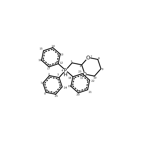 c1ccc([PH](CC2OCCCO2)(c2ccccc2)c2ccccc2)cc1